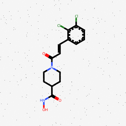 O=C(NO)C1CCN(C(=O)/C=C/c2cc[c]c(Cl)c2Cl)CC1